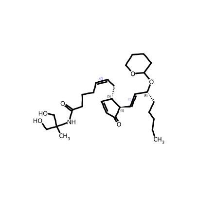 CCCCC[C@H](/C=C/[C@H]1C(=O)C=C[C@@H]1C/C=C\CCCC(=O)NC(C)(CO)CO)OC1CCCCO1